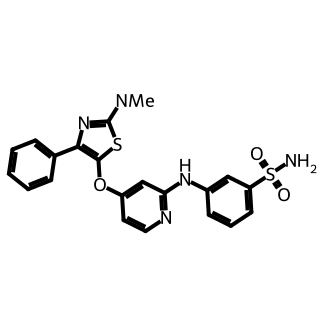 CNc1nc(-c2ccccc2)c(Oc2ccnc(Nc3cccc(S(N)(=O)=O)c3)c2)s1